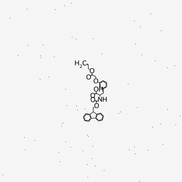 C=CCOC(=O)COc1cccc(CC(NC(=O)OCC2c3ccccc3-c3ccccc32)C(=O)O)c1